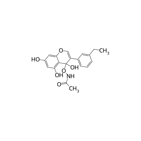 CCc1cccc(C2=COc3cc(O)cc(O)c3C2(O)ONC(C)=O)c1